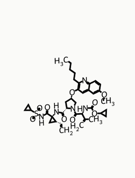 C=C[C@@H]1C[C@]1(NC(=O)[C@@H]1C[C@@H](Oc2cc3cc(OC)ccc3nc2CCCCC)CN1C(=O)[C@@H](NC(=O)OC1CC1)C(=C)C)C(=O)NS(=O)(=O)C1CC1